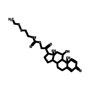 CCSSCCNC(=O)OCC(=O)C1CCC2C3CCC4=CC(=O)C=CC4(C)C3C(O)CC12C